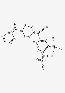 O=C(c1cccnc1)N1CCN(C(=O)c2ccc(N[SH](=O)=O)c(C(F)(F)F)c2)CC1